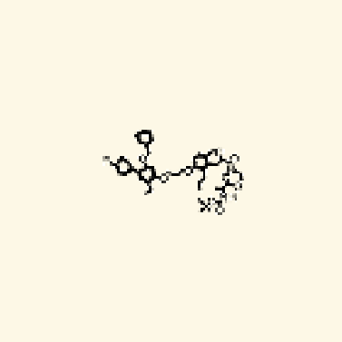 CCCc1c(OCCCOc2cc(OCc3ccccc3)c(-c3ccc(F)cc3)cc2CC)ccc2c1CC(C(=O)N(CC)OC(=O)C(C)NC(=O)OC(C)(C)C)OC2